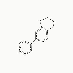 [CH]1CCCc2ccc(-c3ccncc3)cc21